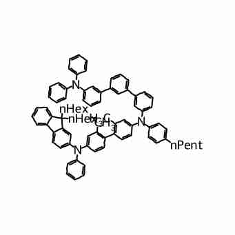 CCCCCCC1(CCCCCC)c2ccccc2-c2ccc(N(c3ccccc3)c3ccc(-c4ccc(N(c5ccc(CCCCC)cc5)c5cccc(-c6cccc(-c7cccc(N(c8ccccc8)c8ccccc8)c7)c6)c5)cc4C)c(C)c3)cc21